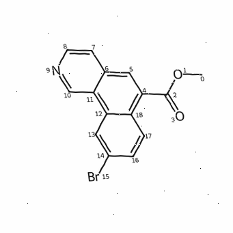 COC(=O)c1cc2ccncc2c2cc(Br)ccc12